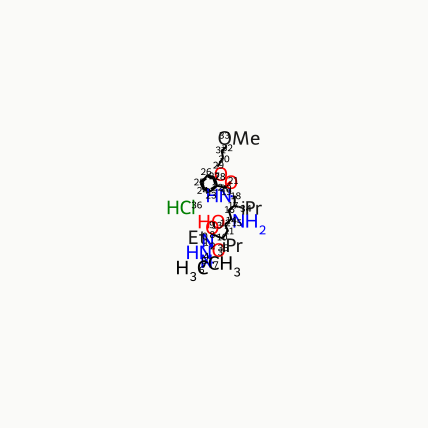 CCN(C(=O)NN(C)C)C(=O)C(CC(O)C(N)CC(CNC(=O)c1ccccc1OCCCCOC)C(C)C)C(C)C.Cl